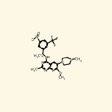 COc1nc2nc(C)nc(N[C@H](C)c3cc([N+](=O)[O-])cc(C(F)(F)F)c3)c2cc1N1CCN(C)CC1